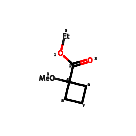 CCOC(=O)C1(OC)CCC1